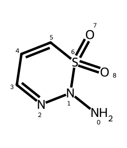 NN1N=CC=CS1(=O)=O